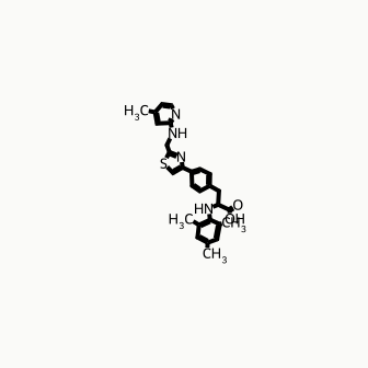 Cc1ccnc(NCc2nc(-c3ccc(CC(Nc4c(C)cc(C)cc4C)C(=O)O)cc3)cs2)c1